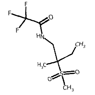 CCC(C)(CNC(=O)C(F)(F)F)S(C)(=O)=O